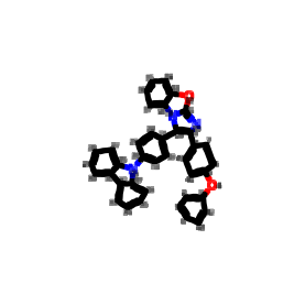 c1ccc(Oc2ccc(-c3nc4oc5ccccc5n4c3-c3ccc(-n4c5ccccc5c5ccccc54)cc3)cc2)cc1